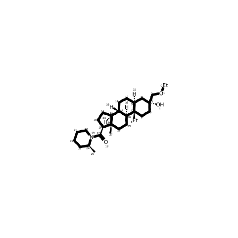 CCOC[C@@]1(O)CC[C@@]2(CC)[C@@H](CC[C@H]3[C@@H]4CC[C@H](C(=O)N5CCCC[C@@H]5C)[C@@]4(C)CC[C@@H]32)C1